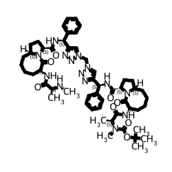 CN[C@@H](C)C(=O)N[C@H]1CCCC[C@H]2CC[C@@H](C(=O)N[C@@H](c3ccccc3)c3cn(Cn4cc([C@@H](NC(=O)[C@@H]5CC[C@@H]6CCCC[C@H](NC(=O)[C@H](C)N(C)C(=O)OC(C)(C)C)C(=O)N65)c5ccccc5)nn4)nn3)N2C1=O